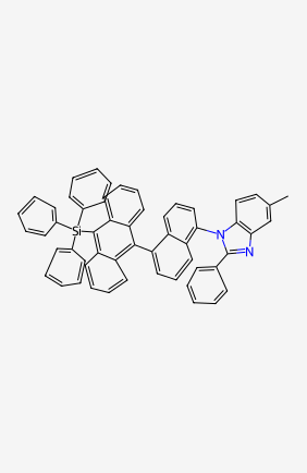 Cc1ccc2c(c1)nc(-c1ccccc1)n2-c1cccc2c(-c3c4ccccc4c([Si](c4ccccc4)(c4ccccc4)c4ccccc4)c4ccccc34)cccc12